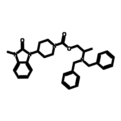 CC(COC(=O)N1CCC(n2c(=O)n(C)c3ccccc32)CC1)N(Cc1ccccc1)Cc1ccccc1